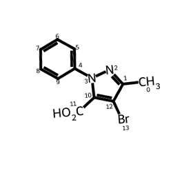 Cc1nn(-c2ccccc2)c(C(=O)O)c1Br